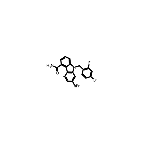 CCCc1c[c]c2c3c(C(N)=O)cccc3n(Cc3ccc(Br)cc3F)c2c1